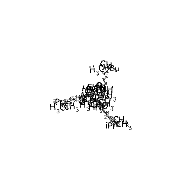 CCC(C)C(C)(C)CCCCCC(=O)NC(C)(C)c1c(C(C)C)c(C(C)(C)NC(=O)CCCCCC(C)(C)C(C)C)c(C(C)C)c(C(C)(C)NC(=O)CCCCCC(C)(C)C(C)C)c1C(C)SS